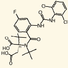 CC(C)(C)N(C(=O)c1ccc(F)cc1NC(=O)Nc1c(Cl)cccc1Cl)[C@@](CC(=O)O)(C(=O)O)C(C)(C)C